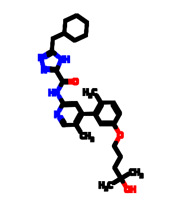 Cc1ccc(OCCCC(C)(C)O)cc1-c1cc(NC(=O)c2nnc(CC3CCCCC3)[nH]2)ncc1C